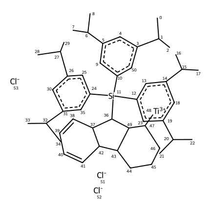 CC(C)c1cc(C(C)C)cc([Si](c2cc(C(C)C)cc(C(C)C)c2)(c2cc(C(C)C)cc(C(C)C)c2)C2C3C=CC=CC3C3CCC[CH]([Ti+3])C32)c1.[Cl-].[Cl-].[Cl-]